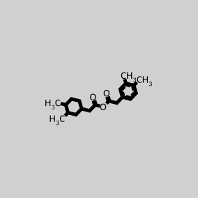 Cc1ccc(CC(=O)OC(=O)CC2CCC(C)C(C)C2)cc1C